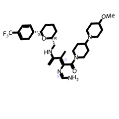 C=C(NC[C@H]1CCC[C@@H](C2C=CC(C(F)(F)F)=CC2)O1)/C(C)=C(\N=C/N)C(=O)N1CCC(N2CCC(OC)CC2)CC1